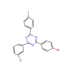 Clc1cccc(-c2nc(-c3ccc(Br)cc3)nc(-c3ccc(I)cc3)n2)c1